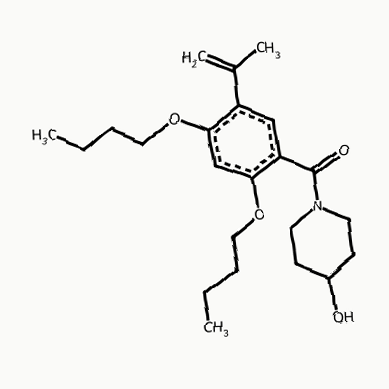 C=C(C)c1cc(C(=O)N2CCC(O)CC2)c(OCCCC)cc1OCCCC